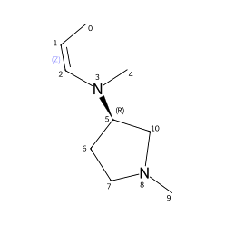 C/C=C\N(C)[C@@H]1CCN(C)C1